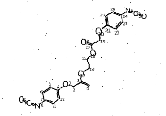 C=C(COc1ccc(N=C=O)cc1)OCCOC(=O)COc1ccc(N=C=O)cc1